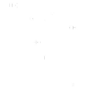 CCOC(=O)C(O)C(C)c1ccc(F)cc1F